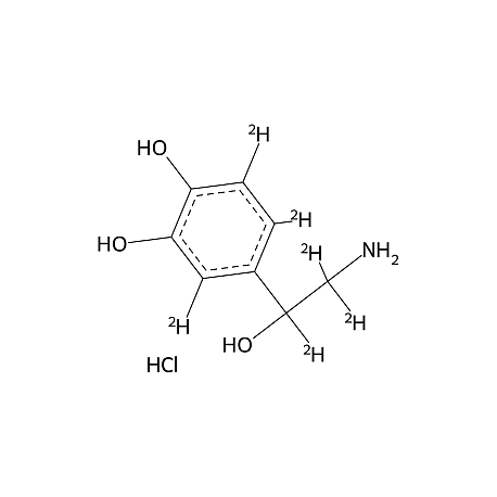 Cl.[2H]c1c([2H])c(C([2H])(O)C([2H])([2H])N)c([2H])c(O)c1O